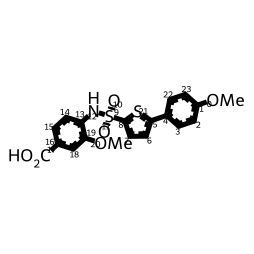 COc1ccc(-c2ccc(S(=O)(=O)Nc3ccc(C(=O)O)cc3OC)s2)cc1